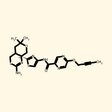 CC#CCOc1cnc(C(=O)Nc2csc([C@@]34COC(C)(C)CC3CSC(N)=N4)n2)cn1